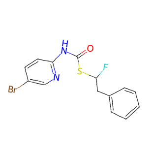 O=C(Nc1ccc(Br)cn1)SC(F)Cc1ccccc1